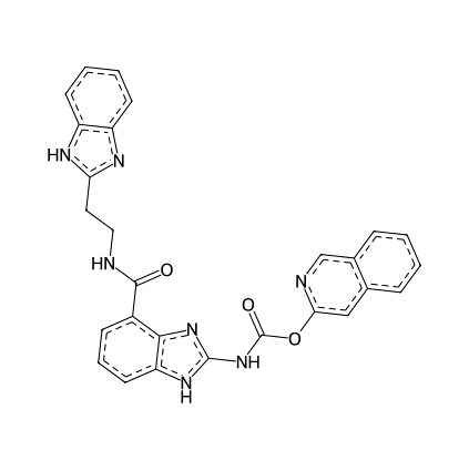 O=C(Nc1nc2c(C(=O)NCCc3nc4ccccc4[nH]3)cccc2[nH]1)Oc1cc2ccccc2cn1